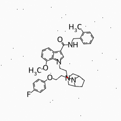 COc1cccc2c(C(=O)NCc3ccccc3C)cn(CCCN3C4CCC3CN(CCOc3ccc(F)cc3)C4)c12